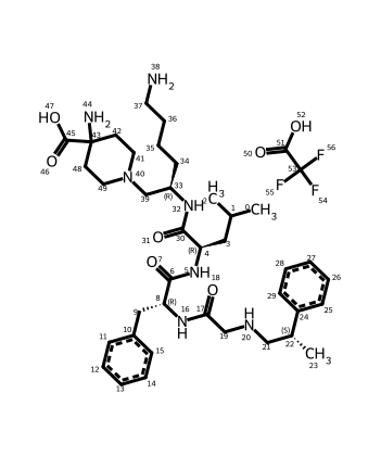 CC(C)C[C@@H](NC(=O)[C@@H](Cc1ccccc1)NC(=O)CNC[C@@H](C)c1ccccc1)C(=O)N[C@H](CCCCN)CN1CCC(N)(C(=O)O)CC1.O=C(O)C(F)(F)F